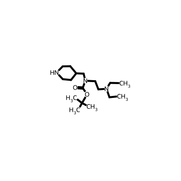 CCN(CC)CCN(CC1CCNCC1)C(=O)OC(C)(C)C